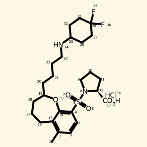 Cc1ccc(S(=O)(=O)N2CCC[C@H]2C(=O)O)c2c1CCCC(CCCCNC1CCC(F)(F)CC1)O2.Cl